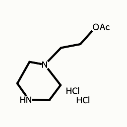 CC(=O)OCCN1CCNCC1.Cl.Cl